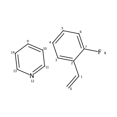 C=Cc1ccccc1F.c1ccncc1